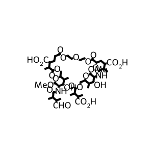 COC1OC(COC(=O)C(C)C(CCC(=O)OCCOCCOC(=O)CCC(C(=O)O)C(C)C(=O)NC2C(OC)OC(COC(=O)C(C)C(C)C(=O)O)C(C)C2O)C(=O)O)C(C)C(O)C1NC(=O)C(C)C(C)C=O